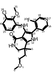 COCCC1(C)CNC(=O)c2c1[nH]c(-c1ccncc1F)c2Nc1cccc(Cl)c1OC